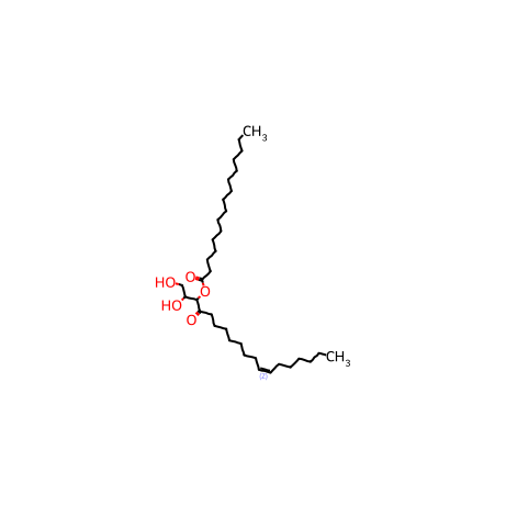 CCCCCC/C=C\CCCCCCCC(=O)C(OC(=O)CCCCCCCCCCCCCCC)C(O)CO